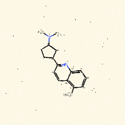 CN(C)C1CCC(c2ccc3c(C(=O)O)cccc3n2)C1